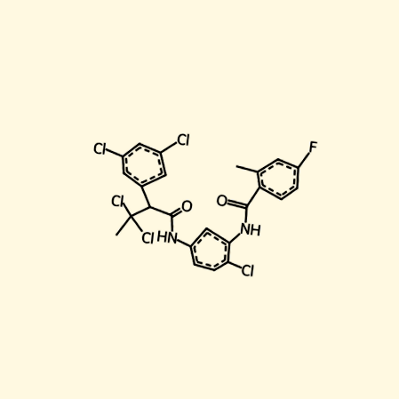 Cc1cc(F)ccc1C(=O)Nc1cc(NC(=O)C(c2cc(Cl)cc(Cl)c2)C(C)(Cl)Cl)ccc1Cl